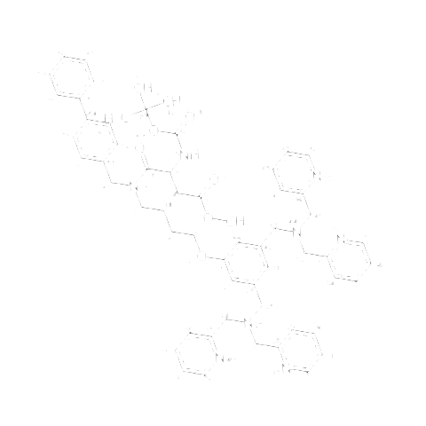 COC(=O)CC(NC(=O)OC(C)(C)C)C(=O)N(CCCCOc1cc(CN(Cc2ccccn2)Cc2ccccn2)cc(CN(Cc2ccccn2)Cc2ccccn2)c1)Cc1ccc(-c2ccccc2)cc1